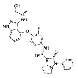 C[C@H](CO)Nc1n[nH]c2nccc(Oc3ccc(NC(=O)c4c5n(n(-c6ccccc6)c4=O)CCC5)cc3F)c12